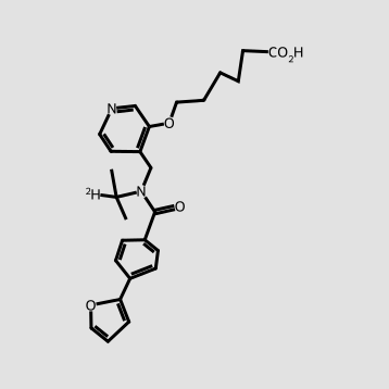 [2H]C(C)(C)N(Cc1ccncc1OCCCCCC(=O)O)C(=O)c1ccc(-c2ccco2)cc1